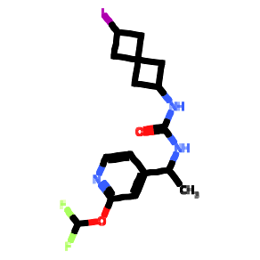 CC(NC(=O)NC1CC2(CC(I)C2)C1)c1ccnc(OC(F)F)c1